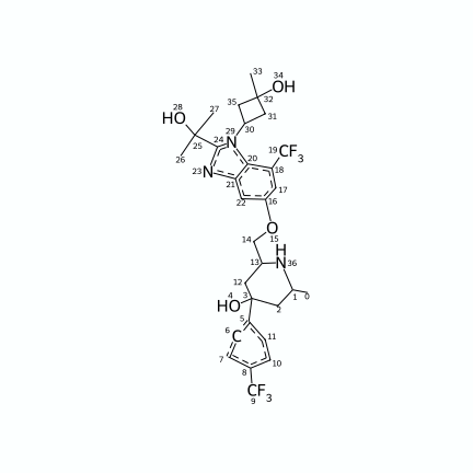 CC1CC(O)(c2ccc(C(F)(F)F)cc2)CC(COc2cc(C(F)(F)F)c3c(c2)nc(C(C)(C)O)n3C2CC(C)(O)C2)N1